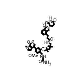 COc1cc(-c2cn(C)c(=O)c3c2ccn3C)cc(OCC(C)(C)CC(C)(C)CNC(=O)CCc2cccc3c2CN(C2CCC(=O)NC2=O)C3=O)c1CNCC(N)=O